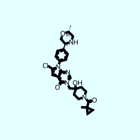 C[C@@H]1CN[C@@H](c2ccc(-n3c(Cl)cc4c(=O)n(CC5(O)CCN(C(=O)C6(C)CC6)CC5)cnc43)cc2)CO1